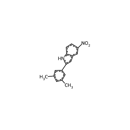 Cc1cc(C)cc(-c2cc3cc([N+](=O)[O-])ccc3[nH]2)c1